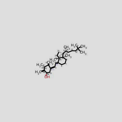 C=C1/C(=C\C=C2/CCC[C@]3(C)[C@@H]([C@H](C)CCCC(C)(C)C)CC[C@@]23C)C[C@@H](O)C(=C)[C@@H]1C